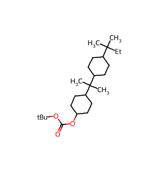 CCC(C)(C)C1CCC(C(C)(C)C2CCC(OC(=O)OC(C)(C)C)CC2)CC1